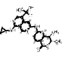 CCC(C)(O)c1cnc(NC2CC2)c2cnc(Nc3ccc4c(n3)[C@@H](C)[C@H](C)OC4=O)cc12